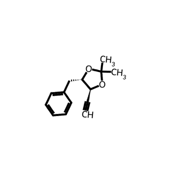 C#C[C@@H]1OC(C)(C)O[C@H]1Cc1ccccc1